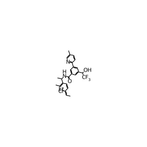 C\C=C(Cl)/C=C\C(=C(\C)CC)C(C)NC(=O)c1cc(-c2ccc(C)cn2)cc(C(O)C(F)(F)F)c1